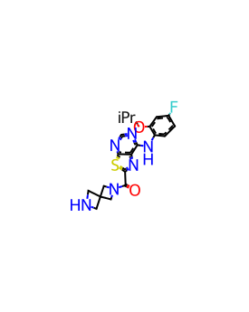 CC(C)Oc1cc(F)ccc1Nc1ncnc2sc(C(=O)N3CC4(CNC4)C3)nc12